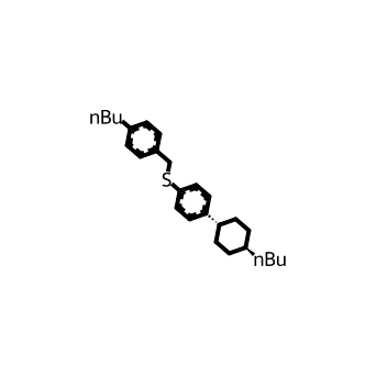 CCCCc1ccc(CSc2ccc([C@H]3CC[C@H](CCCC)CC3)cc2)cc1